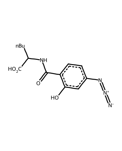 CCCCC(NC(=O)c1ccc(N=[N+]=[N-])cc1O)C(=O)O